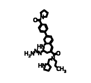 CCCN(CC1CCCN1)C(=O)C1=CC2=CC=C(c3ccc(C(=O)N4CCCC4)cc3)CC2NC(N=NN)C1